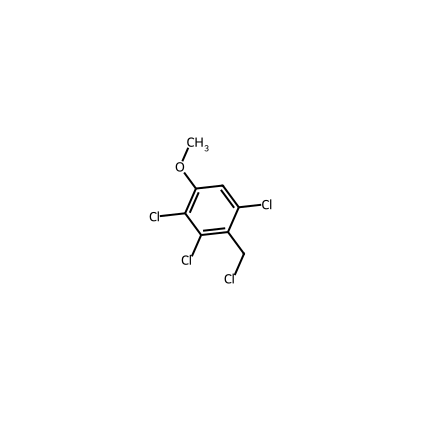 COc1cc(Cl)c(CCl)c(Cl)c1Cl